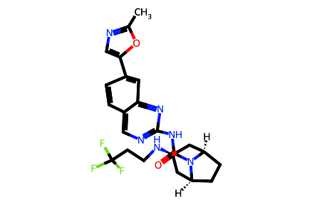 Cc1ncc(-c2ccc3cnc(NC(=O)N4[C@@H]5CC[C@H]4C[C@@H](NCCC(F)(F)F)C5)nc3c2)o1